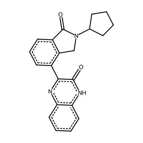 O=C1c2cccc(-c3nc4ccccc4[nH]c3=O)c2CN1C1CCCC1